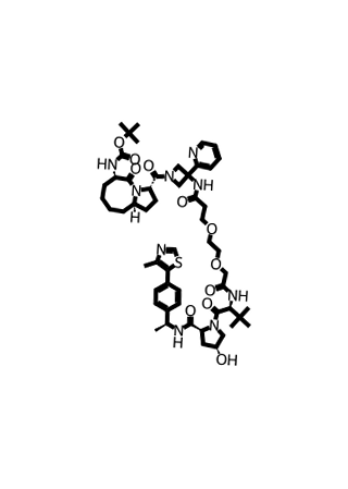 Cc1ncsc1-c1ccc([C@H](C)NC(=O)[C@@H]2C[C@@H](O)CN2C(=O)[C@@H](NC(=O)COCCOCCC(=O)NC2(c3ccccn3)CN(C(=O)[C@@H]3CC[C@H]4CCCC[C@H](NC(=O)OC(C)(C)C)C(=O)N43)C2)C(C)(C)C)cc1